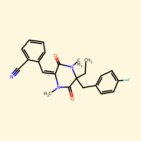 CCC1(Cc2ccc(F)cc2)C(=O)N(C)/C(=C/c2ccccc2C#N)C(=O)N1C